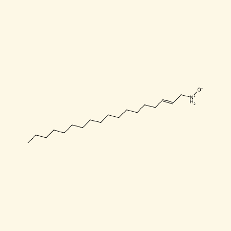 CCCCCCCCCCCCCCCC=CC[NH2+][O-]